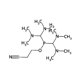 CN(C)C(N(C)C)P(OCCC#N)C(N(C)C)N(C)C